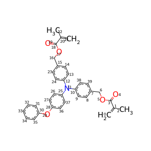 C=C(C)C(=O)OCc1ccc(N(c2ccc(COC(=O)C(=C)C)cc2)c2ccc(Oc3ccccc3)cc2)cc1